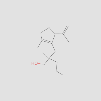 C=C(C)C1CCC(C)=C1CC(C)(CO)CCC